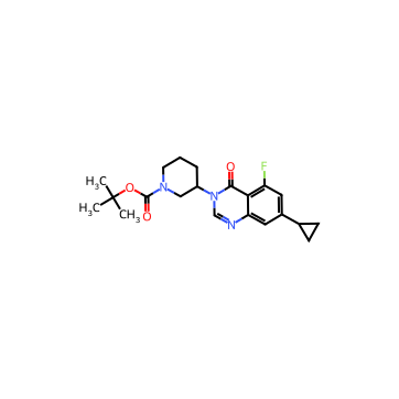 CC(C)(C)OC(=O)N1CCCC(n2cnc3cc(C4CC4)cc(F)c3c2=O)C1